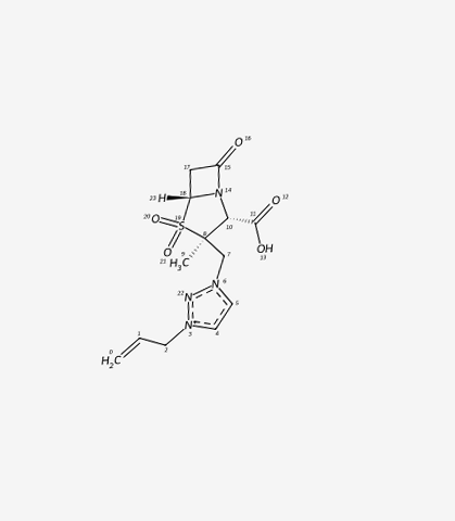 C=CC[n+]1ccn(C[C@]2(C)[C@@H](C(=O)O)N3C(=O)C[C@H]3S2(=O)=O)n1